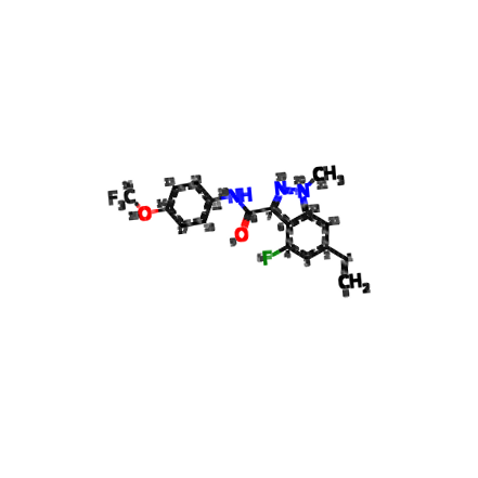 C=Cc1cc(F)c2c(C(=O)Nc3ccc(OC(F)(F)F)cc3)nn(C)c2c1